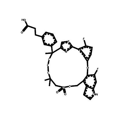 CC1(C)CCCC(C)(c2cccc(CCC(=O)O)c2)c2csc(n2)-c2cc(ccc2F)Oc2c(F)cc3[nH]ccc3c2CCS(=O)(=O)C1